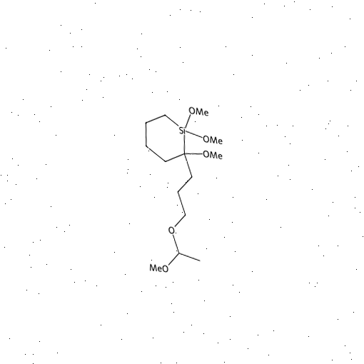 COC(C)OCCCC1(OC)CCCC[Si]1(OC)OC